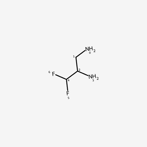 NCC(N)C(F)F